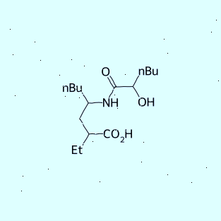 CCCCC(CC(CC)C(=O)O)NC(=O)C(O)CCCC